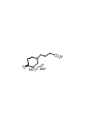 O=C(O)CCCN1CCC(=O)CC1.O=C([O-])O.[Na+]